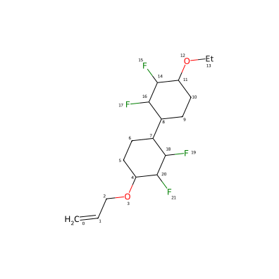 C=CCOC1CCC(C2CCC(OCC)C(F)C2F)C(F)C1F